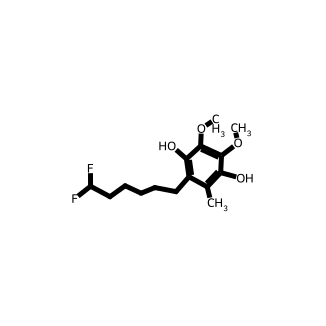 COc1c(O)c(C)c(CCCCCC(F)F)c(O)c1OC